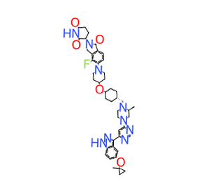 C[C@H]1CN(c2cc(-c3n[nH]c4ccc(OC5(C)CC5)cc34)ncn2)CCN1C[C@H]1CC[C@H](OC2CCN(c3ccc4c(c3F)CN(C3CCC(=O)NC3=O)C4=O)CC2)CC1